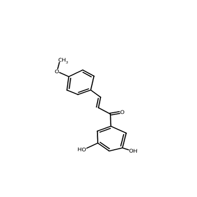 COc1ccc(/C=C/C(=O)c2cc(O)cc(O)c2)cc1